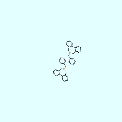 c1ccc(-c2ccccc2CP2Cc3ccccc3-c3ccccc3C2)c(CP2Cc3ccccc3-c3ccccc3C2)c1